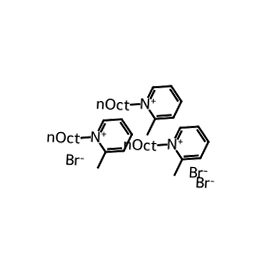 CCCCCCCC[n+]1ccccc1C.CCCCCCCC[n+]1ccccc1C.CCCCCCCC[n+]1ccccc1C.[Br-].[Br-].[Br-]